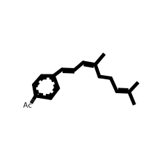 CC(=O)c1ccc(C=CC=C(C)CCC=C(C)C)cc1